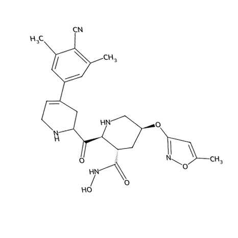 Cc1cc(O[C@@H]2CN[C@H](C(=O)C3CC(c4cc(C)c(C#N)c(C)c4)=CCN3)[C@@H](C(=O)NO)C2)no1